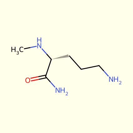 CN[C@H](CCCN)C(N)=O